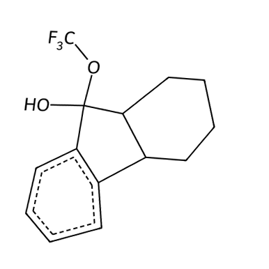 OC1(OC(F)(F)F)c2ccccc2C2CCCCC21